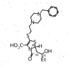 CC[C@H](O)[C@@H]1C(=O)N2C(C(=O)O)=C(SCCN3CCN(Cc4ccccc4)CC3)S[C@H]12